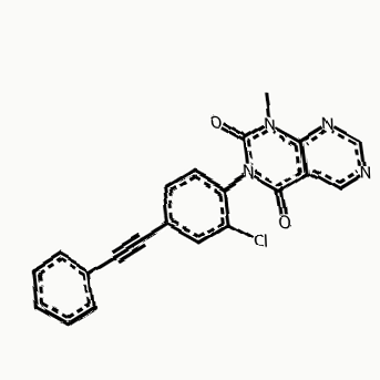 Cn1c(=O)n(-c2ccc(C#Cc3ccccc3)cc2Cl)c(=O)c2cncnc21